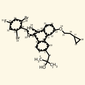 CC(C)(O)Cc1ccc2c(c1)c1cc(OCCC3CC3)ccc1c1[nH]c(-c3c(Br)cc(F)cc3Br)nc21